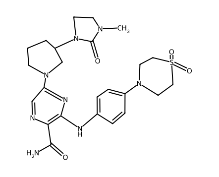 CN1CCN(C2CCCN(c3cnc(C(N)=O)c(Nc4ccc(N5CCS(=O)(=O)CC5)cc4)n3)C2)C1=O